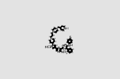 Cl.Nc1ncc(-c2cnn(C3CCN(CCCN4CCN(CC5CCNCC5)CC4)CC3)c2)nc1C(=O)O[C@@H](C(=O)Nc1ccc(F)cc1)c1ccccc1